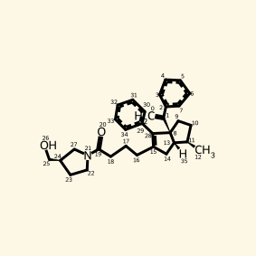 C=C(c1ccccc1)[C@@]12CC[C@@H](C)[C@@H]1CC(CCCC(=O)N1CC[C@@H](CO)C1)=C2c1ccccc1